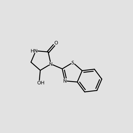 O=C1NCC(O)N1c1nc2ccccc2s1